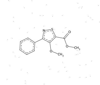 COC(=O)c1snc(-c2ccccc2)c1OC